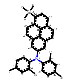 Cc1ccc(N(c2cc3ccc4ccc([Si](C)(C)C)c5ccc(c2)c3c45)c2ccc(C)cc2C)c(C)c1